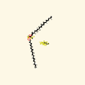 CCCCCCCCCCCCCCCCCCOP(=S)(S)OCCCCCCCCCCCCCCCCCC.S.S.S.S